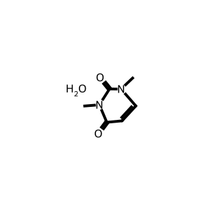 Cn1ccc(=O)n(C)c1=O.O